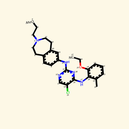 COCCN1CCc2ccc(Nc3ncc(Cl)c(Nc4c(C)cccc4OCC#N)n3)cc2CC1